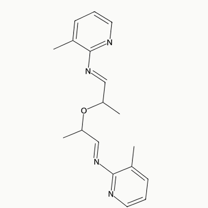 Cc1cccnc1N=CC(C)OC(C)C=Nc1ncccc1C